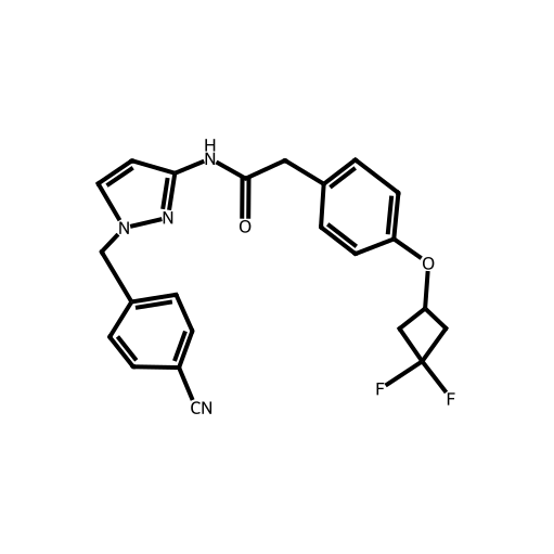 N#Cc1ccc(Cn2ccc(NC(=O)Cc3ccc(OC4CC(F)(F)C4)cc3)n2)cc1